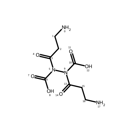 NCCC(=O)N(C(=O)O)N(C(=O)O)C(=O)CCN